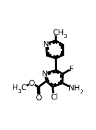 COC(=O)c1nc(-c2ccc(C)nc2)c(F)c(N)c1Cl